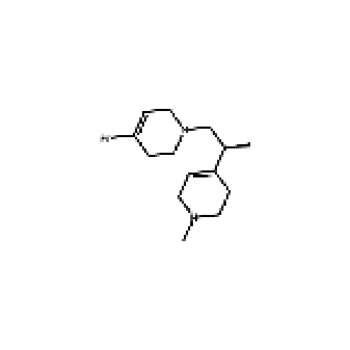 CC(C)C1=CCN(C[C@@H](C)C2=CCN(C)CC2)CC1